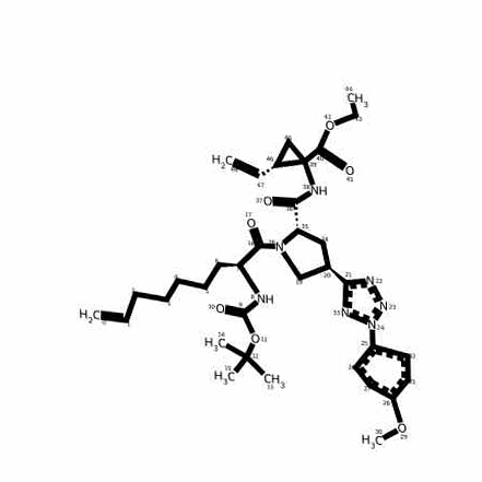 C=CCCCCC[C@H](NC(=O)OC(C)(C)C)C(=O)N1C[C@H](c2nnn(-c3ccc(OC)cc3)n2)C[C@H]1C(=O)NC1(C(=O)OCC)C[C@H]1C=C